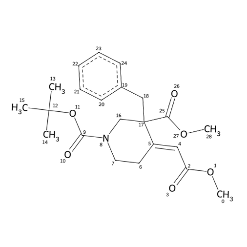 COC(=O)C=C1CCN(C(=O)OC(C)(C)C)CC1(Cc1ccccc1)C(=O)OC